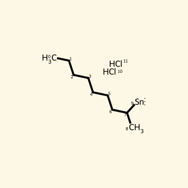 CCCCCCC[CH](C)[Sn].Cl.Cl